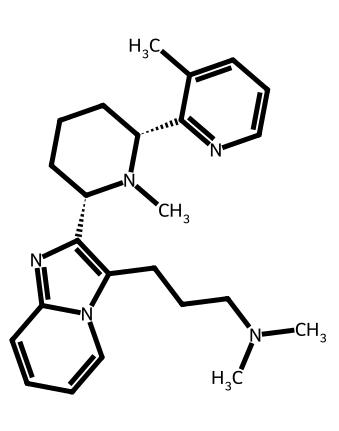 Cc1cccnc1[C@H]1CCC[C@@H](c2nc3ccccn3c2CCCN(C)C)N1C